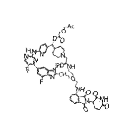 CC(=O)COCC(=O)O[C@@H](c1ccc(Nc2ncc(F)c(-c3cc(F)c4nc(C)n(C(C)C)c4c3)n2)nc1)C1CCN(CC(=O)NCCOCCNc2cccc3c2C(=O)N(C2CCC(=O)NC2=O)C3=O)CC1